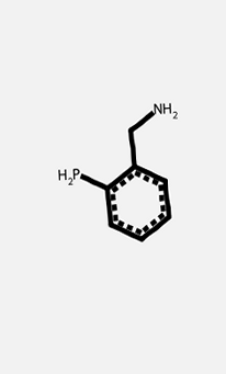 NCc1ccccc1P